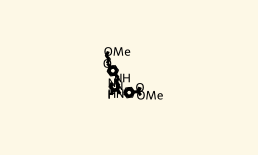 COCCOc1ccc(Nc2ncc(F)c(Nc3ccc(C(=O)OC)cc3)n2)cc1